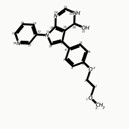 COCCOc1ccc(-c2cn(-c3cccnc3)c3c2C(O)NC=N3)cc1